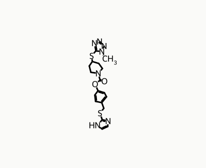 Cn1nnnc1SC1CCN(C(=O)Oc2ccc(CSc3ncc[nH]3)cc2)CC1